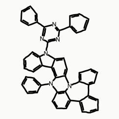 c1ccc(-c2nc(-c3ccccc3)nc(-n3c4ccccc4c4c5c(ccc43)N3c4ccccc4-c4ccccc4-c4cccc(c43)N5c3ccccc3)n2)cc1